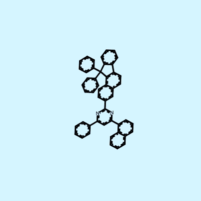 c1ccc(-c2cc(-c3cccc4ccccc34)nc(-c3ccc4c5c(ccc4c3)-c3ccccc3C5(c3ccccc3)c3ccccc3)n2)cc1